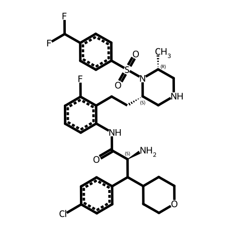 C[C@@H]1CNC[C@H](CCc2c(F)cccc2NC(=O)[C@@H](N)C(c2ccc(Cl)cc2)C2CCOCC2)N1S(=O)(=O)c1ccc(C(F)F)cc1